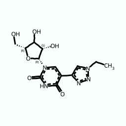 CCn1cc(-c2cn([C@@H]3O[C@H](CO)C(O)[C@@H]3O)c(=O)[nH]c2=O)nn1